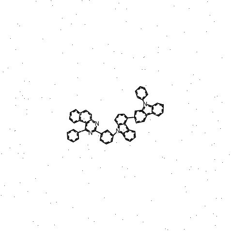 c1ccc(-c2nc(-c3cccc(-n4c5ccccc5c5c(-c6ccc7c8ccccc8n(-c8ccccc8)c7c6)cccc54)c3)nc3ccc4ccccc4c23)cc1